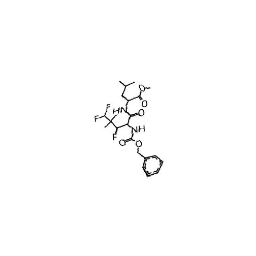 COC(=O)C(CC(C)C)NC(=O)C(NC(=O)OCc1ccccc1)C(F)C(C)(C)C(F)F